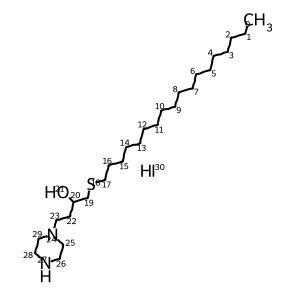 CCCCCCCCCCCCCCCCCCSCC(O)CCN1CCNCC1.I